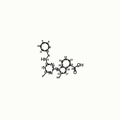 Cc1nc(NCc2ccccc2)nc(-n2c(C)cc3c(C(=O)O)cccc32)n1